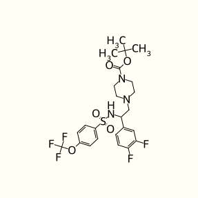 CC(C)(C)OC(=O)N1CCN(CC(NS(=O)(=O)c2ccc(OC(F)(F)F)cc2)c2ccc(F)c(F)c2)CC1